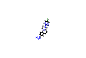 Nc1ccc2c(c1)CCC1CN(c3ncc(F)cn3)CCN21